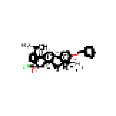 C=C(C)[C@@H]1CC[C@]2(C(=O)Cl)CC[C@]3(C)[C@H](CC[C@@H]4[C@@]5(C)CC[C@H](OCc6ccccc6)C(C)(C)[C@@H]5CC[C@]43C)[C@@H]12